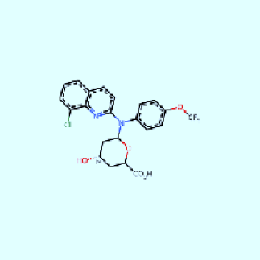 O=C(O)C1C[C@H](O)CC(N(c2ccc(OC(F)(F)F)cc2)c2ccc3cccc(Cl)c3n2)O1